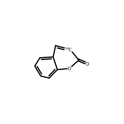 O=c1[14cH]cc2ccccc2o1